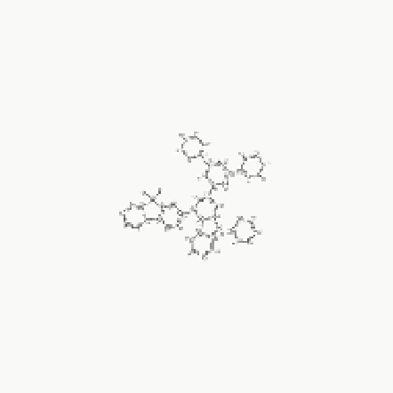 CC1(C)c2ccccc2-c2ccc(-c3cc(-c4nc(-c5ccccc5)nc(-c5ccccc5)n4)cc4c3c3ccccc3n4-c3ccccc3)cc21